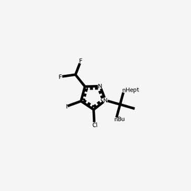 CCCCCCCC(C)(CCCC)n1nc(C(F)F)c(I)c1Cl